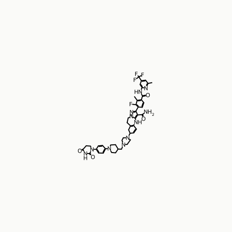 Cc1cc(C(F)(F)F)cc(NC(=O)c2ccc(-c3nn4c(c3C(N)=O)NC3=C(CC4)CC(N4CCN(CC5CCN(c6ccc(N7CCC(=O)NC7=O)cc6)CC5)CC4)C=C3)c(F)c2C)n1